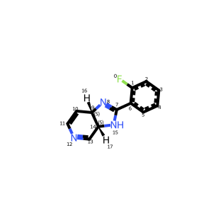 Fc1ccccc1C1=N[C@H]2C=CN=C[C@H]2N1